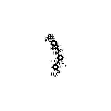 COc1cccc(C(C)(C)c2cccc(NC(=O)c3cc4ccc(NS(C)(=O)=O)cc4[nH]3)c2)c1